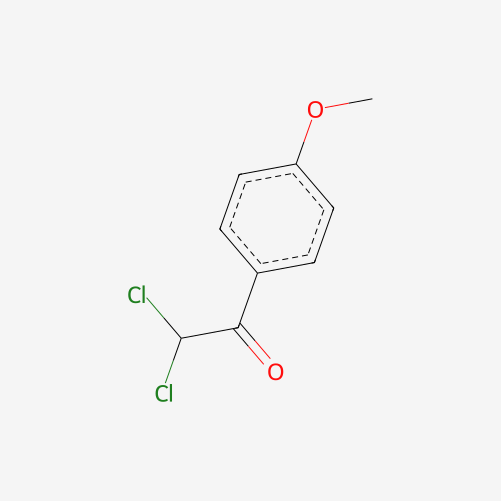 COc1ccc(C(=O)C(Cl)Cl)cc1